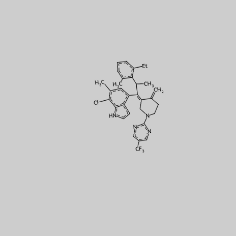 C=C1CCN(c2ncc(C(F)(F)F)cn2)C/C1=C(\c1cc(C)c(Cl)c2[nH]ccc12)C(C)c1c(C)cccc1CC